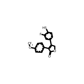 O=C1OCC(c2ccc(S)c(F)c2)=C1c1ccc(OC(F)(F)F)cc1